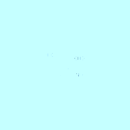 CC1CC1(C=O)N=O